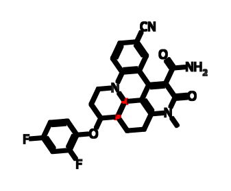 Cn1c2c(c(-c3cc(C#N)ccc3N3CCC(Oc4ccc(F)cc4F)CC3)c(C(N)=O)c1=O)CCCC2